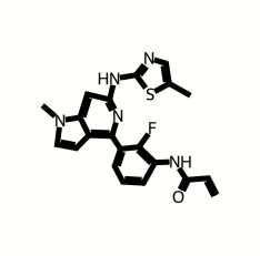 C=CC(=O)Nc1cccc(-c2nc(Nc3ncc(C)s3)cc3c2ccn3C)c1F